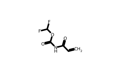 C=CC(=O)NC(=O)OC(F)F